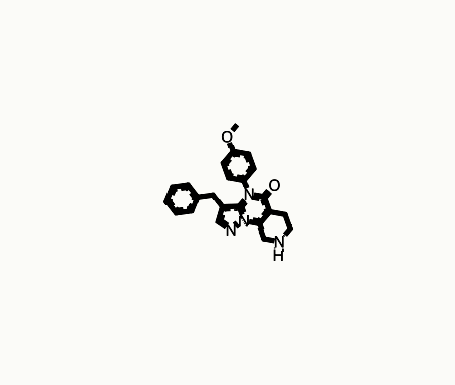 COc1ccc(-n2c(=O)c3c(n4ncc(Cc5ccccc5)c24)CNCC3)cc1